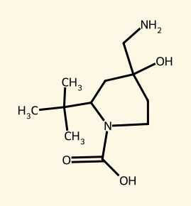 CC(C)(C)C1CC(O)(CN)CCN1C(=O)O